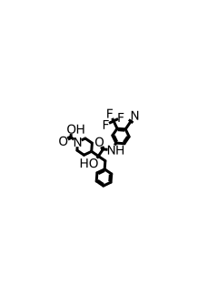 N#Cc1ccc(NC(=O)C(O)(Cc2ccccc2)C2CCN(C(=O)O)CC2)cc1C(F)(F)F